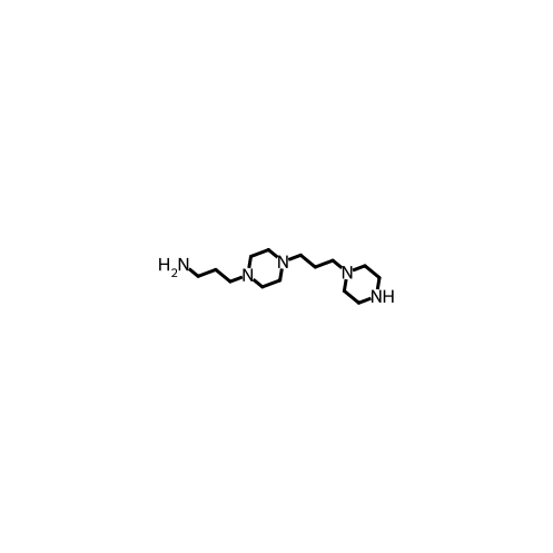 NCCCN1CCN(CCCN2CCNCC2)CC1